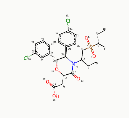 CCC(CS(=O)(=O)C(C)CC)N1C(=O)[C@H](CC(=O)O)O[C@H](c2cccc(Cl)c2)[C@H]1c1ccc(Cl)cc1